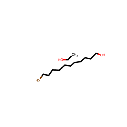 CCO.OCCCCCCCCCCCS